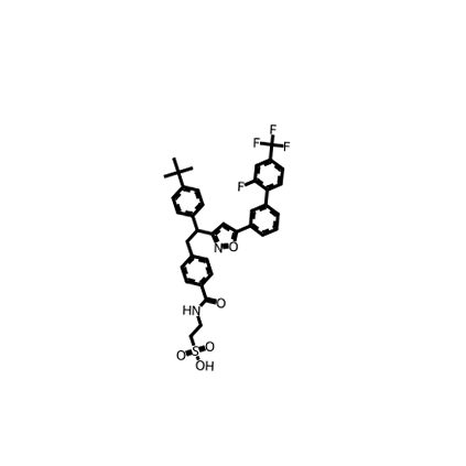 CC(C)(C)c1ccc(C(Cc2ccc(C(=O)NCCS(=O)(=O)O)cc2)c2cc(-c3cccc(-c4ccc(C(F)(F)F)cc4F)c3)on2)cc1